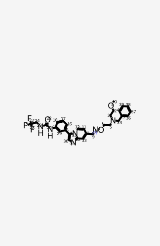 COCCN(CCO/N=C/c1ccn2c(-c3cccc(NC(=O)NCC(F)(F)F)c3)cnc2c1)Cc1ccccc1